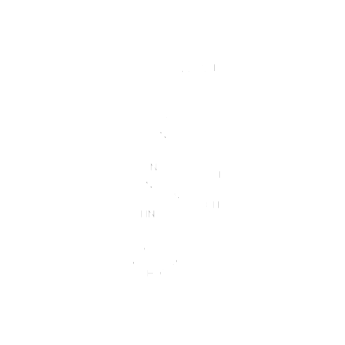 CCS/C(=N\N1CCN(c2ccc(OC)cc2)CC1)NCC(OC)OC.I